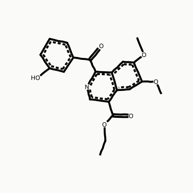 CCOC(=O)c1cnc(C(=O)c2cccc(O)c2)c2cc(OC)c(OC)cc12